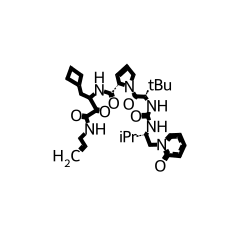 C=CCNC(=O)C(=O)C(CC1CCC1)NC(=O)[C@@H]1C=CCN1C(=O)[C@@H](NC(=O)N[C@H](Cn1ccccc1=O)C(C)C)C(C)(C)C